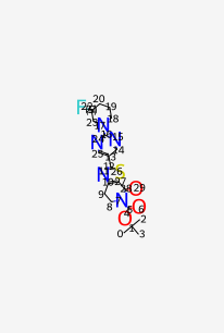 CC(C)(C)OC(=O)N1CCc2nc(-c3cnc(N4CCC[C@H](F)C4)nc3)sc2C1=O